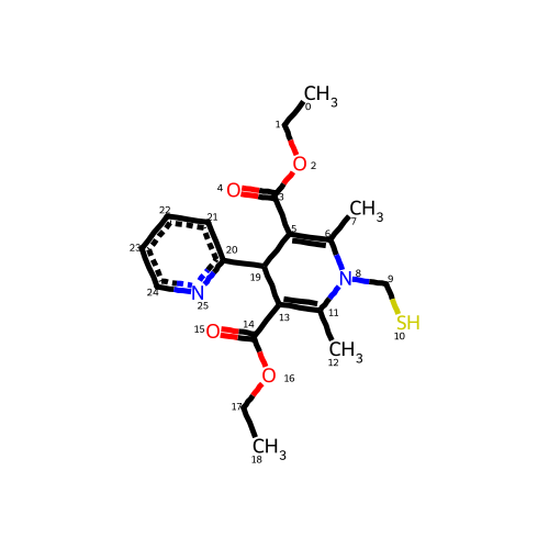 CCOC(=O)C1=C(C)N(CS)C(C)=C(C(=O)OCC)C1c1ccccn1